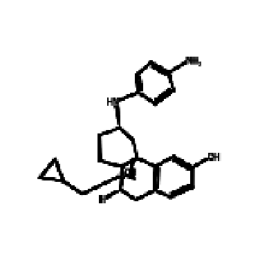 Nc1ccc(N[C@@H]2CC[C@@]3(O)[C@H]4Cc5ccc(O)cc5[C@@]3(CCN4CC3CC3)C2)cc1